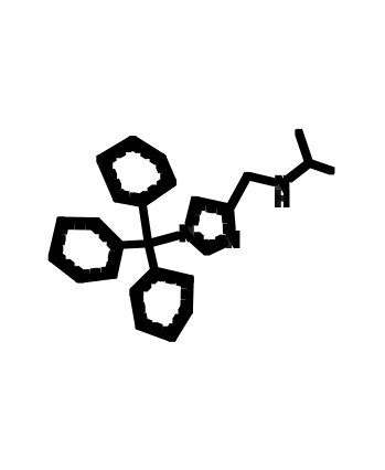 CC(C)NCc1cn(C(c2ccccc2)(c2ccccc2)c2ccccc2)cn1